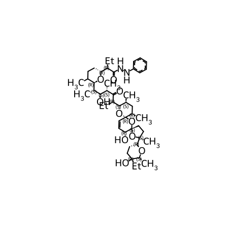 CC[C@@H](C(=O)[C@@H](C)[C@@H](O)[C@H](C)[C@@H]1O[C@@H]([C@@H](CC)C(=O)NNc2ccccc2)CCC1C)[C@H]1O[C@]2(C=C[C@@H](O)[C@]3(CC[C@@](C)([C@H]4CC[C@](O)(CC)[C@H](C)O4)O3)O2)[C@H](C)C[C@@H]1C